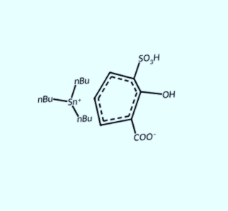 CCC[CH2][Sn+]([CH2]CCC)[CH2]CCC.O=C([O-])c1cccc(S(=O)(=O)O)c1O